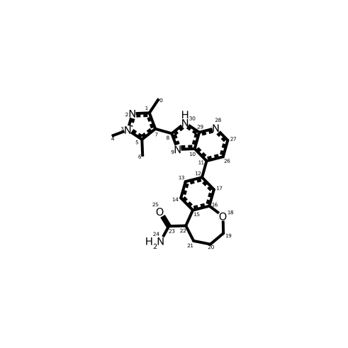 Cc1nn(C)c(C)c1-c1nc2c(-c3ccc4c(c3)OCCCC4C(N)=O)ccnc2[nH]1